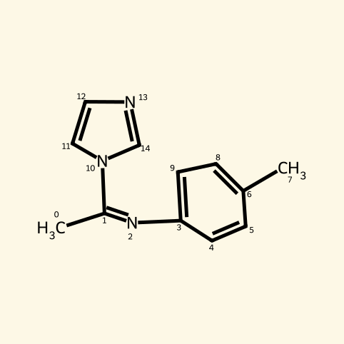 CC(=Nc1ccc(C)cc1)n1ccnc1